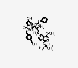 C#Cc1ccc(CNC(=O)[C@@H]2C[C@@H](O)CN2C(=O)[C@@H](NC(=O)Oc2ccccc2)C(C)(C)CCN2CCN(C(=O)OC(C)(C)C)[C@H](C(=O)OC)C2)cc1